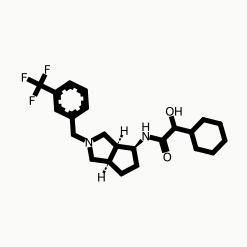 O=C(N[C@H]1CC[C@H]2CN(Cc3cccc(C(F)(F)F)c3)C[C@H]21)C(O)C1CCCCC1